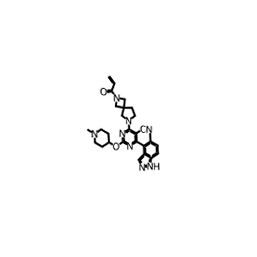 C=CC(=O)N1CC2(CCN(c3nc(OC4CCN(C)CC4)nc(-c4c(C)ccc5[nH]ncc45)c3C#N)C2)C1